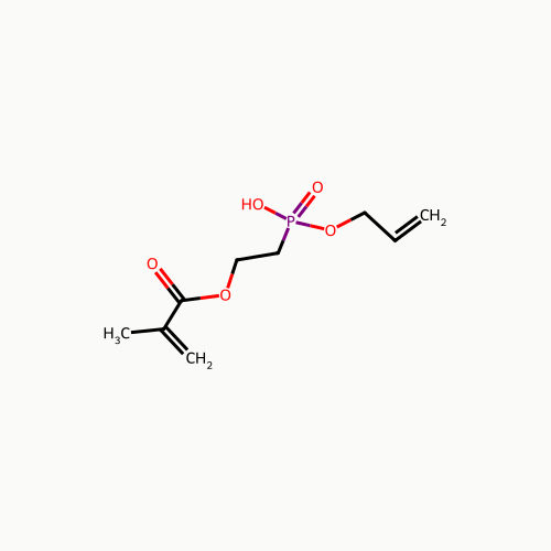 C=CCOP(=O)(O)CCOC(=O)C(=C)C